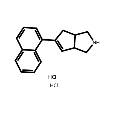 C1=C(c2cccc3ccccc23)CC2CNCC12.Cl.Cl